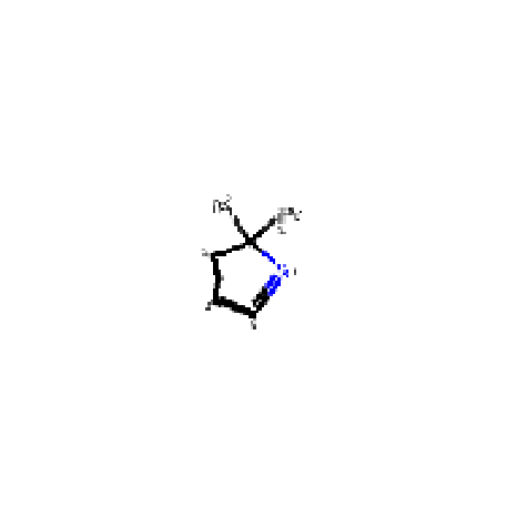 CC(C)C1(C(C)C)CCC=N1